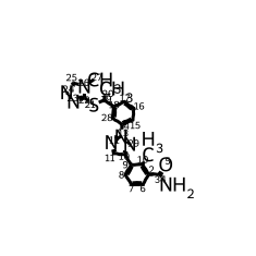 Cc1c(C(N)=O)cccc1-c1cnn(-c2cccc(C(C)Sc3nncn3C)c2)n1